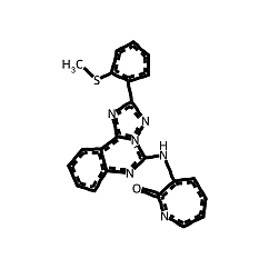 CSc1ccccc1-c1nc2c3ccccc3nc(Nc3ccccnc3=O)n2n1